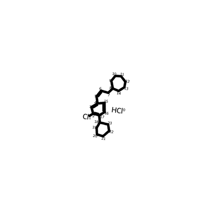 Cl.Clc1cc(/C=C\CC2CCCCCC2)ccc1C1CCCCC1